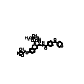 Cc1ncoc1COc1ccc2c(c1)CN(C(=O)OC(C)(C)C)C([C@H](O)CNC(=O)c1ccc(C(=O)N3CCOCC3)cc1)C2